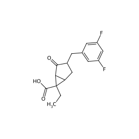 CCC1(C(=O)O)C2CC(Cc3cc(F)cc(F)c3)C(=O)C21